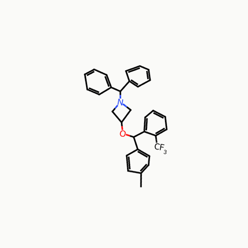 Cc1ccc(C(OC2CN(C(c3ccccc3)c3ccccc3)C2)c2ccccc2C(F)(F)F)cc1